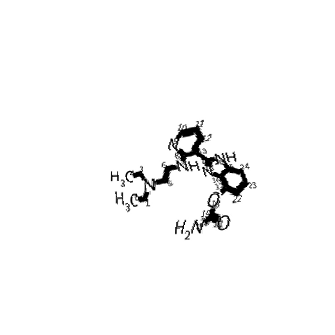 CCN(CC)CCNc1ncccc1-c1nc2c(OC(N)=O)cccc2[nH]1